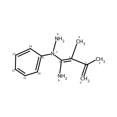 C=C(C)/C(C)=C(\N)N(N)c1ccccc1